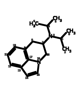 CC(C)N(C(C)C)C1Cc2cccc3ccn(c23)C1